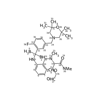 BC(B)(Nc1cccc(C=O)c1CN(C)C(CCC=O)C(=O)NC)c1cc(CN2CC(C)(C)OC(C)(C)C2)ccc1F